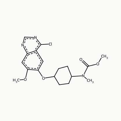 COC(=O)N(C)C1CCC(Oc2cc3c(Cl)ncnc3cc2OC)CC1